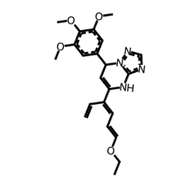 C=C/C(=C\C=C\OCC)C1=CC(c2cc(OC)c(OC)c(OC)c2)n2ncnc2N1